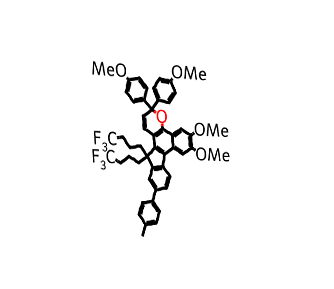 COc1ccc(C2(c3ccc(OC)cc3)C=Cc3c4c(c5cc(OC)c(OC)cc5c3O2)-c2ccc(-c3ccc(C)cc3)cc2C4(CCCC(F)(F)F)CCCC(F)(F)F)cc1